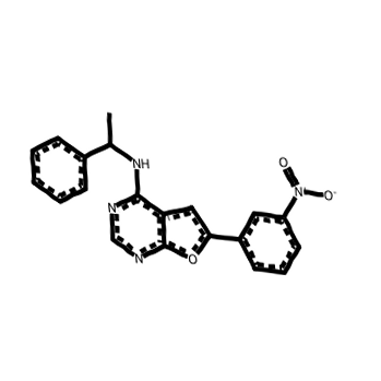 CC(Nc1ncnc2oc(-c3cccc([N+](=O)[O-])c3)cc12)c1ccccc1